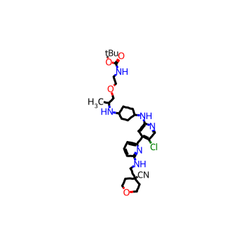 CC(COCCNC(=O)OC(C)(C)C)NC1CCC(Nc2cc(-c3cccc(NCC4(C#N)CCOCC4)n3)c(Cl)cn2)CC1